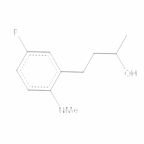 CNc1ccc(F)cc1CCC(C)O